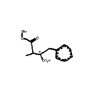 CC(C(=O)OC(C)(C)C)[C@@H](Cc1ccccc1)C(=O)O